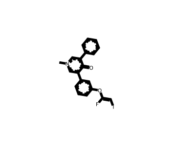 Cn1cc(-c2ccccc2)c(=O)c(-c2cccc(OC(F)=CI)c2)c1